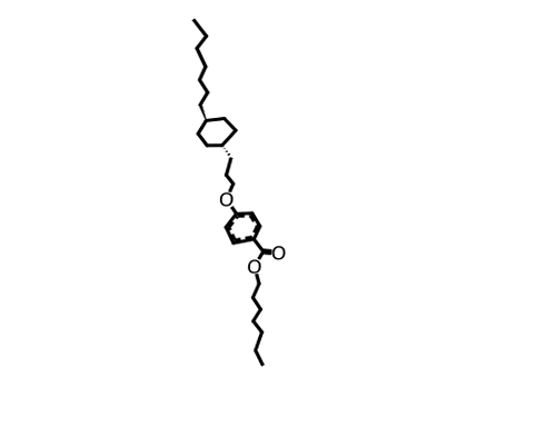 CCCCCCCOC(=O)c1ccc(OCCC[C@H]2CC[C@H](CCCCCCC)CC2)cc1